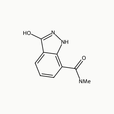 CNC(=O)c1cccc2c(O)n[nH]c12